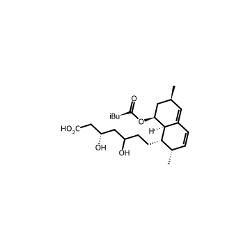 CC[C@H](C)C(=O)O[C@H]1C[C@@H](C)C=C2C=C[C@H](C)[C@H](CCC(O)C[C@H](O)CC(=O)O)[C@H]21